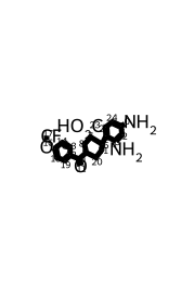 Nc1cc(N)c(C2CCC(C(=O)c3ccc(OC(F)(F)F)cc3)CC2)c(C(=O)O)c1